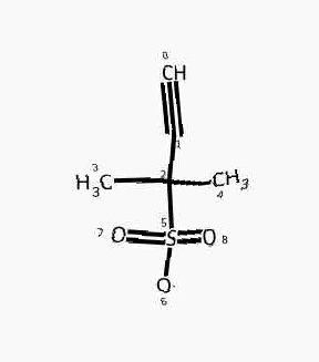 C#CC(C)(C)S([O])(=O)=O